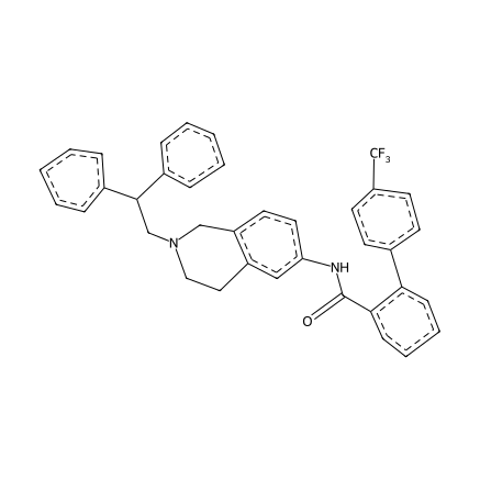 O=C(Nc1ccc2c(c1)CCN(CC(c1ccccc1)c1ccccc1)C2)c1ccccc1-c1ccc(C(F)(F)F)cc1